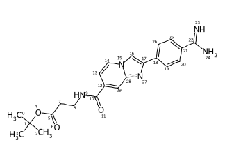 CC(C)(C)OC(=O)CCNC(=O)c1ccn2cc(-c3ccc(C(=N)N)cc3)nc2c1